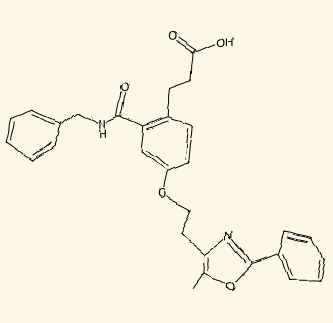 Cc1oc(-c2ccccc2)nc1CCOc1ccc(CCC(=O)O)c(C(=O)NCc2ccccc2)c1